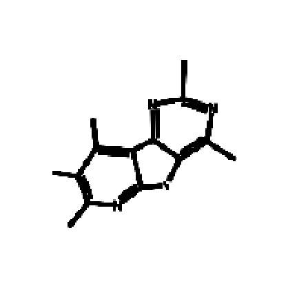 Cc1nc(C)c2sc3nc(C)c(C)c(C)c3c2n1